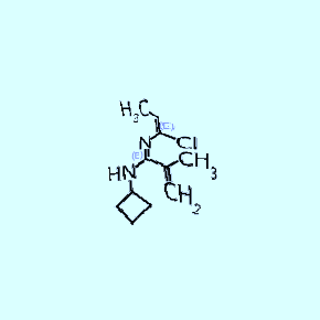 C=C(C)/C(=N\C(Cl)=C/C)NC1CCC1